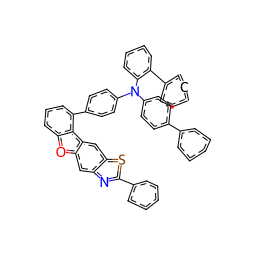 c1ccc(-c2ccc(N(c3ccc(-c4cccc5oc6cc7nc(-c8ccccc8)sc7cc6c45)cc3)c3ccccc3-c3ccccc3)cc2)cc1